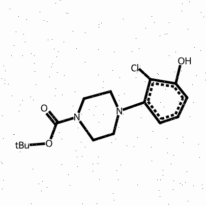 CC(C)(C)OC(=O)N1CCN(c2cccc(O)c2Cl)CC1